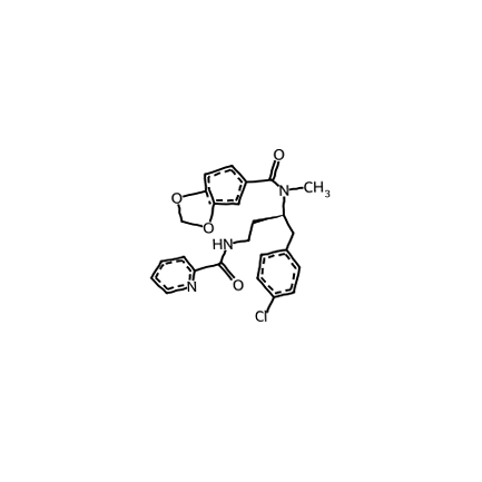 CN(C(=O)c1ccc2c(c1)OCO2)[C@H](CCNC(=O)c1ccccn1)Cc1ccc(Cl)cc1